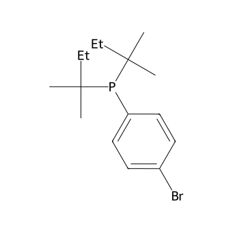 CCC(C)(C)P(c1ccc(Br)cc1)C(C)(C)CC